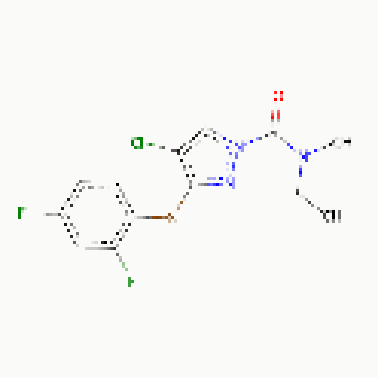 CCN(C)C(=O)n1cc(Cl)c(Sc2ccc(F)cc2F)n1